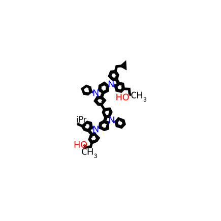 CC(C)Cc1ccc2c(c1)c1cc(CC(C)O)ccc1n2-c1ccc2c(c1)c1cc(-c3ccc4c(c3)c3cc(-n5c6ccc(CC(C)O)cc6c6cc(CC7CC7)ccc65)ccc3n4C3=CCCC=C3)ccc1n2-c1ccccc1